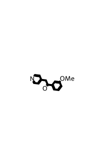 COc1cccc(C(=O)Cc2ccncc2)c1